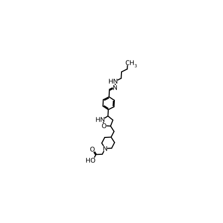 CCCCNN=Cc1ccc(C2CC(CC3CCN(CC(=O)O)CC3)ON2)cc1